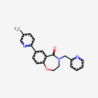 O=C1c2cc(-c3ccc(C(F)(F)F)cn3)ccc2OCCN1Cc1ccccn1